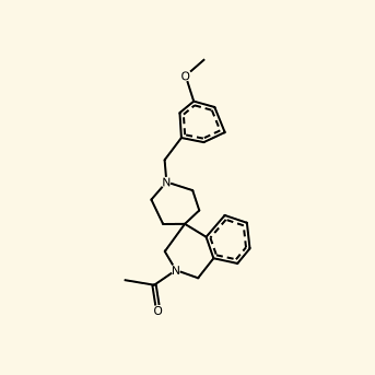 COc1cccc(CN2CCC3(CC2)CN(C(C)=O)Cc2ccccc23)c1